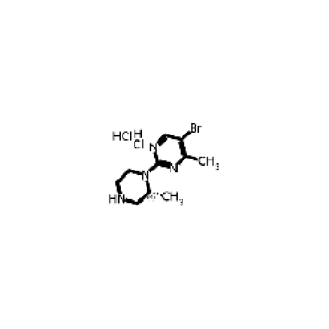 Cc1nc(N2CCNC[C@H]2C)ncc1Br.Cl.Cl